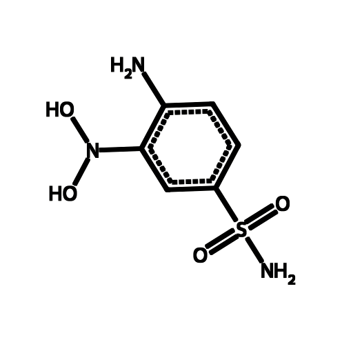 Nc1ccc(S(N)(=O)=O)cc1N(O)O